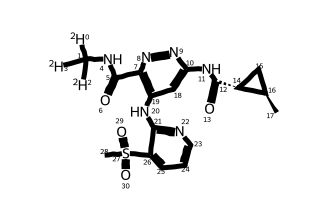 [2H]C([2H])([2H])NC(=O)c1nnc(NC(=O)[C@@H]2C[C@H]2C)cc1Nc1ncccc1S(C)(=O)=O